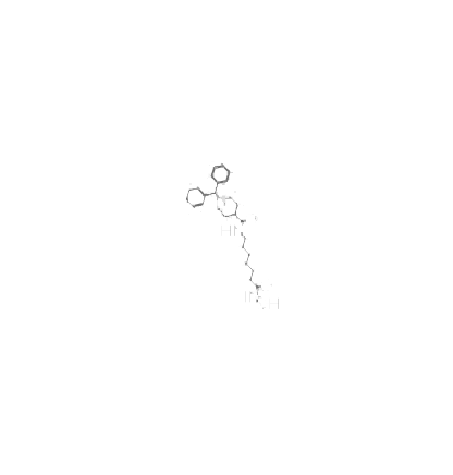 O=C(CCCCCCNC(=O)C1CCN(C(C2=CCCC=C2)c2ccccc2)CC1)NO